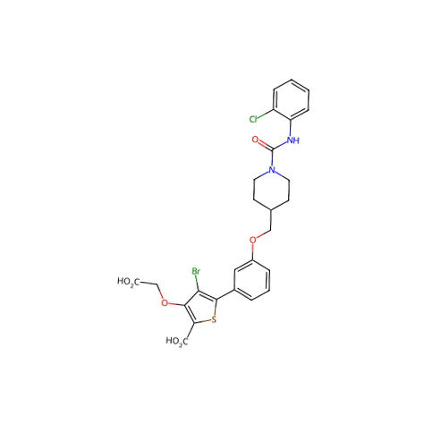 O=C(O)COc1c(C(=O)O)sc(-c2cccc(OCC3CCN(C(=O)Nc4ccccc4Cl)CC3)c2)c1Br